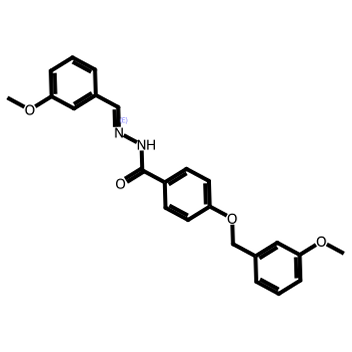 COc1cccc(/C=N/NC(=O)c2ccc(OCc3cccc(OC)c3)cc2)c1